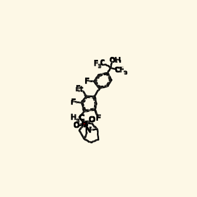 CCc1c(-c2ccc(C(O)(C(F)(F)F)C(F)(F)F)cc2F)cc(F)c(CN2CC3CCC(C2)N3S(C)(=O)=O)c1F